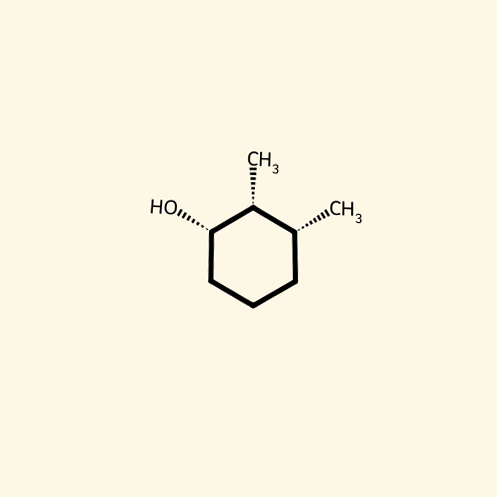 C[C@@H]1[C@H](C)CCC[C@@H]1O